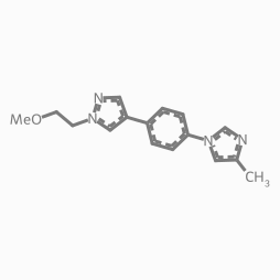 COCCn1cc(-c2ccc(-n3cnc(C)c3)cc2)cn1